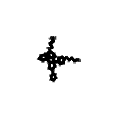 OCCCOc1ccc(C2(c3ccc(OCCCO)cc3)CC(c3ccccc3)CC2c2ccccc2)cc1